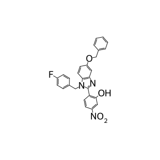 O=[N+]([O-])c1ccc(-c2nc3cc(OCc4ccccc4)ccc3n2Cc2ccc(F)cc2)c(O)c1